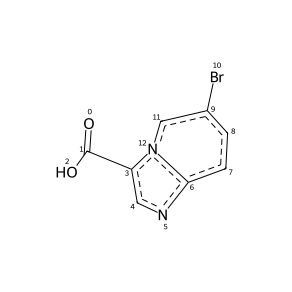 O=C(O)c1cnc2ccc(Br)cn12